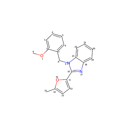 COc1ccccc1Cn1c(-c2ccc(C)o2)nc2ccccc21